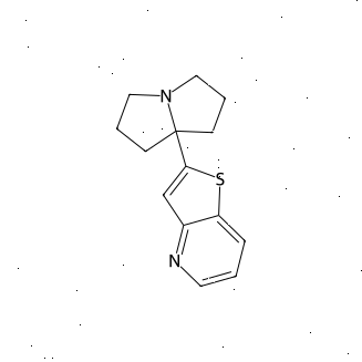 c1cnc2cc(C34CCCN3CCC4)sc2c1